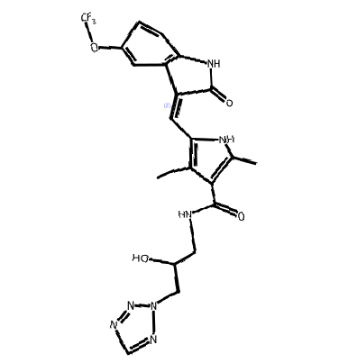 Cc1[nH]c(/C=C2\C(=O)Nc3ccc(OC(F)(F)F)cc32)c(C)c1C(=O)NCC(O)Cn1ncnn1